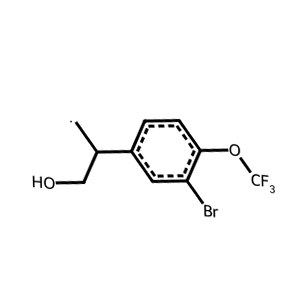 [CH2]C(CO)c1ccc(OC(F)(F)F)c(Br)c1